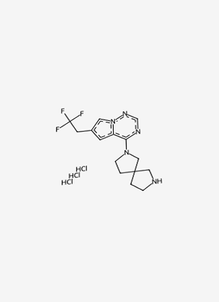 Cl.Cl.Cl.FC(F)(F)Cc1cc2c(N3CCC4(CCNC4)C3)ncnn2c1